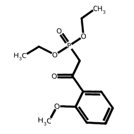 CCOP(=O)(CC(=O)c1ccccc1OC)OCC